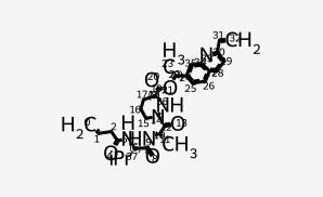 C=CCC(=O)N[C@H](C(=O)NC(C)C(=O)N1CCC[C@@H](C(=O)O[C@H](C)c2ccc3ccc(C=C)nc3c2)N1)C(C)C